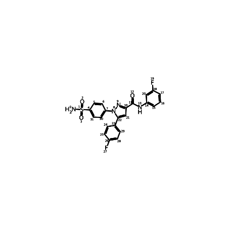 NS(=O)(=O)c1ccc(-n2nc(C(=O)Nc3cccc(F)c3)cc2-c2ccc(F)cc2)cc1